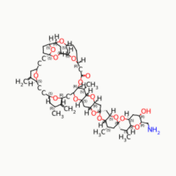 C=C1CC2CC[C@]34CC[C@H](O3)[C@H]3C[C@@H](O4)[C@H]4O[C@H](CC[C@@H]4O3)CC(=O)O[C@H]3C(C[C@H]4O[C@@H](CC[C@@H]1O2)C[C@@H](C)C4=C)O[C@H]1C[C@H]2O[C@@]4(C[C@@H]5O[C@]6(C[C@H](C)[C@@H]7O[C@H](CN)[C@H](O)C[C@@H]7O6)C[C@H](C)[C@@H]5O4)C[C@H]2O[C@H]1[C@@H]3C